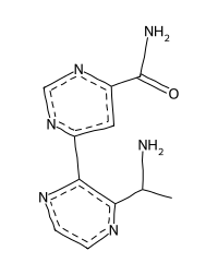 CC(N)c1nccnc1-c1cc(C(N)=O)ncn1